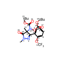 CN1N=C(c2ccccc2OC(F)(F)F)C(C)(N(OC(=O)OC(C)(C)C)C(=O)OC(C)(C)C)C1=O